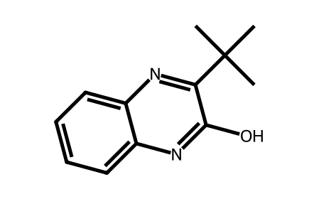 CC(C)(C)c1nc2ccccc2nc1O